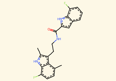 Cc1[nH]c2c(F)ccc(C)c2c1CCNC(=O)c1cc2cccc(F)c2[nH]1